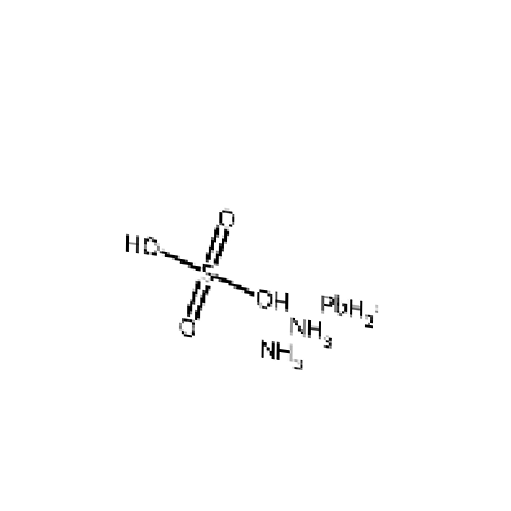 N.N.O=S(=O)(O)O.[PbH2]